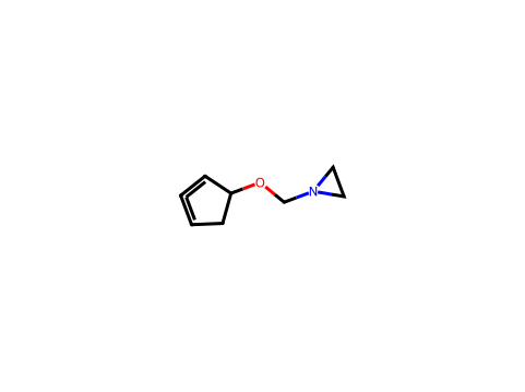 C1=CCC(OCN2CC2)C=1